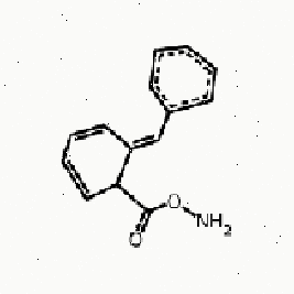 NOC(=O)C1C=CC=CC1=Cc1ccccc1